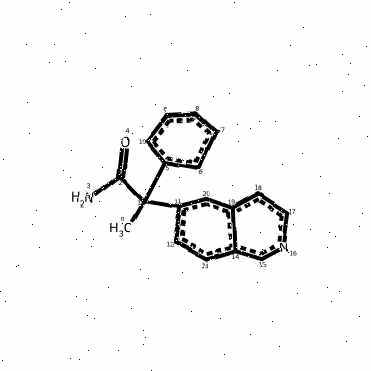 CC(C(N)=O)(c1ccccc1)c1ccc2cnccc2c1